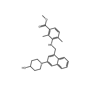 COC(=O)c1ccc(C)c(NCc2cc(N3CCC(O)CC3)cc3ccccc23)c1C